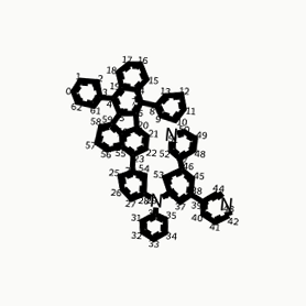 c1ccc(-c2c3c(c(-c4ccccc4)c4ccccc24)-c2ccc(-c4cccc(N(c5ccccc5)c5cc(-c6cccnc6)cc(-c6cccnc6)c5)c4)c4cccc-3c24)cc1